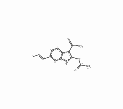 C/C=C/c1ccc2c(C(N)=O)c(NC(N)=O)[nH]c2c1